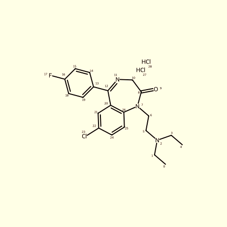 CCN(CC)CCN1C(=O)CN=C(c2ccc(F)cc2)c2cc(Cl)ccc21.Cl.Cl